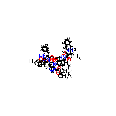 CC(C)CC(NC(=O)[C@H](Cc1cn(C(=O)OC(C)(C)C)cn1)NC(=O)[C@H](Cc1ccccc1)NC(=O)OC(C)(C)C)C(O)C(F)(F)CNC(=O)C(C(=O)NCc1ccccc1)C(C)C